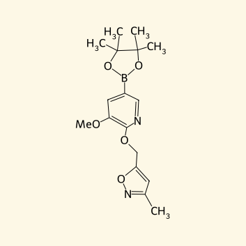 COc1cc(B2OC(C)(C)C(C)(C)O2)cnc1OCc1cc(C)no1